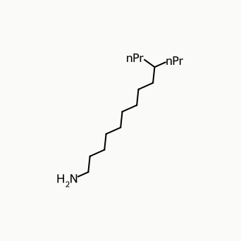 CCCC(CCC)CCCCCCCCCN